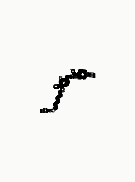 CCCCCCCCCCCCCCCCOC1(Cl)C=CC(CNC(=O)c2cc[n+](CC)cc2)=CC1.[I-]